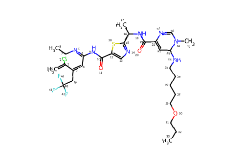 C=C(Cl)/C(=C\C(=N/CC)NC(=O)c1cnc(C(C)NC(=O)C2=CC(NCCCCCOCCC)N(C)C=N2)s1)CC(F)(F)F